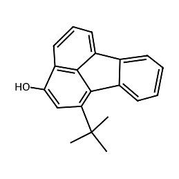 CC(C)(C)c1cc(O)c2cccc3c2c1-c1ccccc1-3